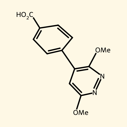 COc1cc(-c2ccc(C(=O)O)cc2)c(OC)nn1